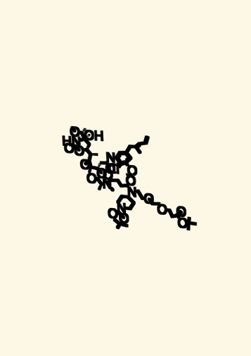 C=C/C=C(\C)Cc1cc(OC)c(Cl)c(N(C)C(=O)C[C@H](OC(=O)[C@H](C)N(C)C(=O)CCC(=O)N(CCOCCOCCC(=O)OC(C)(C)C)C2CCN(C(=O)OC(C)(C)C)CC2)[C@]2(C)OC2[C@H](C)[C@@H]2C[C@](O)([C@@H](C)OC)NC(=O)O2)c1